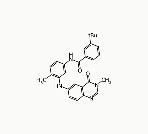 Cc1ccc(NC(=O)c2cccc(C(C)(C)C)c2)cc1Nc1ccc2ncn(C)c(=O)c2c1